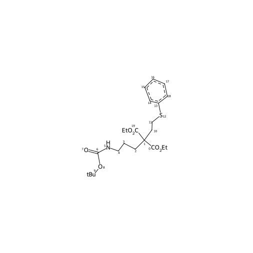 CCOC(=O)C(CCCNC(=O)OC(C)(C)C)(CCSc1ccccc1)C(=O)OCC